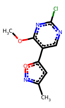 COc1nc(Cl)ncc1-c1cc(C)no1